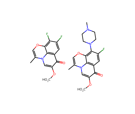 CC1=COc2c(F)c(F)cc3c(=O)c(OC(=O)O)cn1c23.CC1=COc2c(N3CCN(C)CC3)c(F)cc3c(=O)c(OC(=O)O)cn1c23